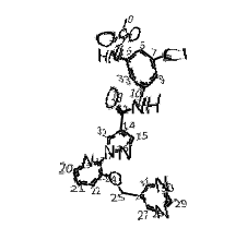 CS(=O)(=O)Nc1cc(Cl)cc(NC(=O)c2cnn(-c3ncccc3OCc3cncnc3)c2)c1